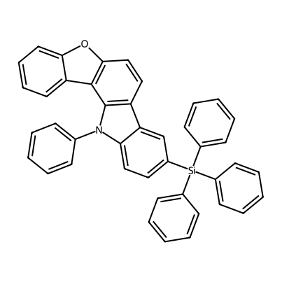 c1ccc(-n2c3ccc([Si](c4ccccc4)(c4ccccc4)c4ccccc4)cc3c3ccc4oc5ccccc5c4c32)cc1